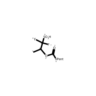 CCCCCC(=O)OC(C)C(F)(F)S(=O)(=O)O